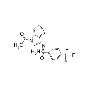 CC(=O)n1cc(N=S(N)(=O)c2ccc(C(F)(F)F)cc2)c2ccccc21